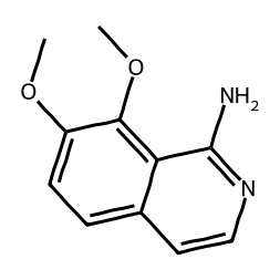 COc1ccc2ccnc(N)c2c1OC